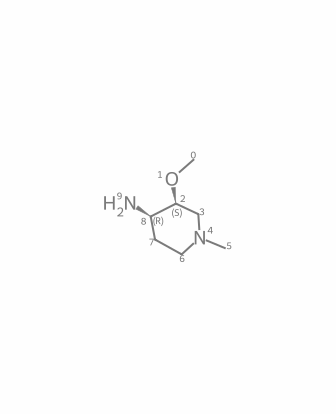 CO[C@H]1CN(C)CC[C@H]1N